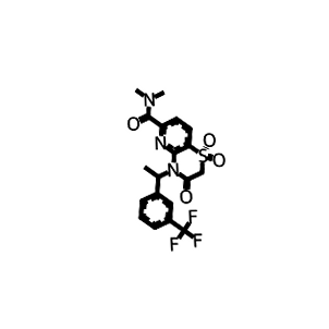 CC(c1cccc(C(F)(F)F)c1)N1C(=O)CS(=O)(=O)c2ccc(C(=O)N(C)C)nc21